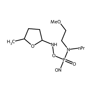 CCCN(CCOC)P(=O)(N=O)ONC1CCC(C)O1